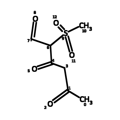 CC(=O)CC(=O)C([C]=O)S(C)(=O)=O